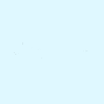 CCCC1CCC2C(CCC3CC(C(=O)Oc4cc(F)c(C#N)c(F)c4)CCC32)C1